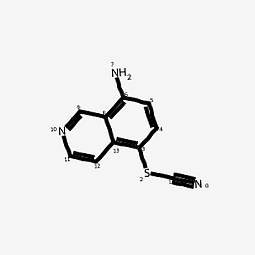 N#CSc1ccc(N)c2cnccc12